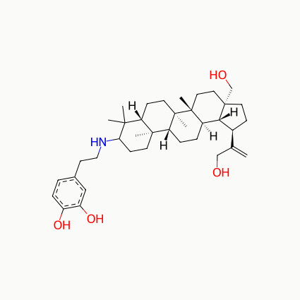 C=C(CO)[C@@H]1CC[C@]2(CO)CC[C@]3(C)[C@H](CC[C@@H]4[C@@]5(C)CCC(NCCc6ccc(O)c(O)c6)C(C)(C)[C@@H]5CC[C@]43C)[C@@H]12